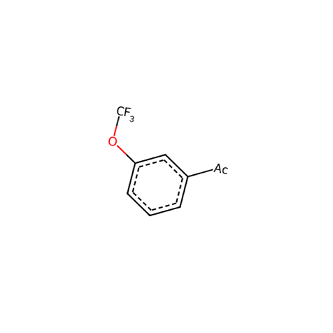 [CH2]C(=O)c1cccc(OC(F)(F)F)c1